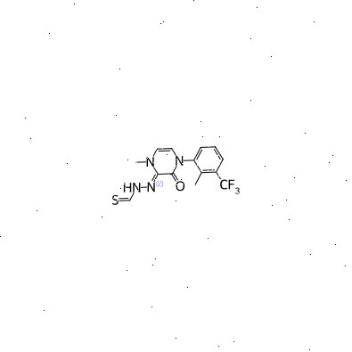 Cc1c(-n2ccn(C)/c(=N\NC=S)c2=O)cccc1C(F)(F)F